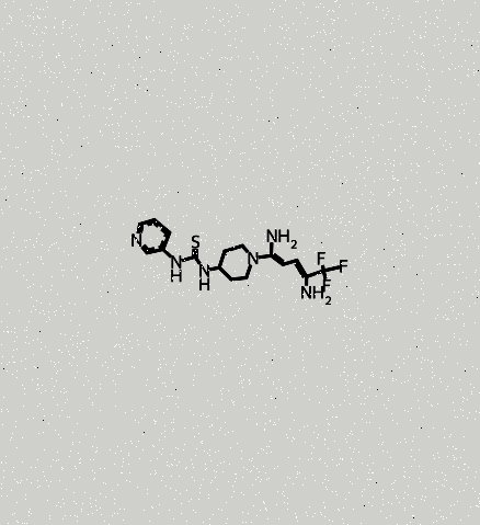 N/C(=C\C=C(/N)N1CCC(NC(=S)Nc2cccnc2)CC1)C(F)(F)F